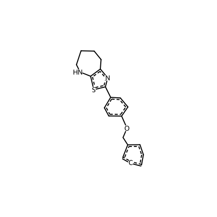 c1ccc(COc2ccc(-c3nc4c(s3)NCCCC4)cc2)cc1